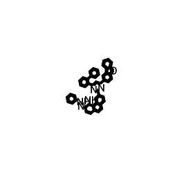 N=C1/C(=N\Nc2ccccc2)C=Cc2ccc3ccc(-c4nc(-c5ccc6oc7ccccc7c6c5)cc(-c5ccccc5-c5ccccc5)n4)cc3c21